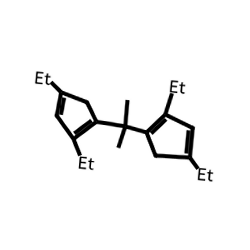 CCC1=CC(CC)=C(C(C)(C)C2=C(CC)C=C(CC)C2)C1